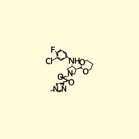 Cn1cnc(S(=O)(=O)N2C[C@H](Nc3ccc(F)c(Cl)c3)[C@@H](C3OCCCO3)C2)c1